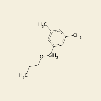 CCCO[SiH2]c1cc(C)cc(C)c1